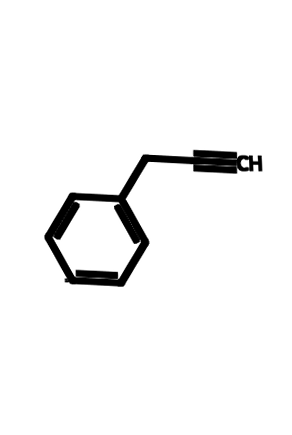 C#CCc1cc[c]cc1